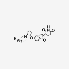 CCOC1(C)CCN(C2CCCC2Oc2ccc3c(c2)CN(C2CCC(=O)NC2=O)C3=O)CC1